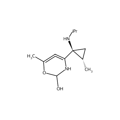 CC1=C=C([C@]2(NC(C)C)C[C@@H]2C)NC(O)O1